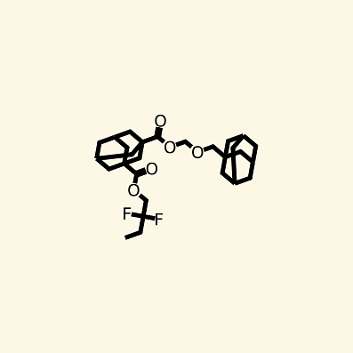 CCC(F)(F)COC(=O)C12CC3CC(CC(C(=O)OCOCC45CC6CC(CC(C6)C4)C5)(C3)C1)C2